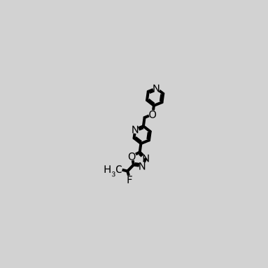 CC(F)c1nnc(-c2ccc(COc3ccncc3)nc2)o1